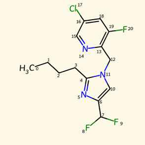 CCCCc1nc(C(F)F)cn1Cc1ncc(Cl)cc1F